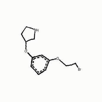 BrCCOc1cccc(OC2CCNC2)c1